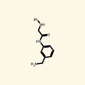 CC(C)NCC(=O)Nc1cccc(CN)c1